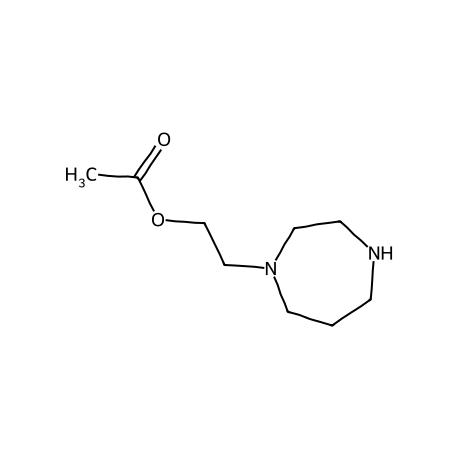 CC(=O)OCCN1CCCNCC1